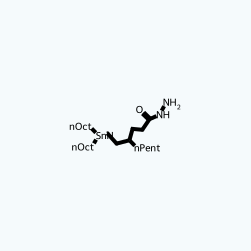 CCCCCCC[CH2][SnH]([CH2]CCCCCCC)[CH2]CC(CCCCC)CCC(=O)NN